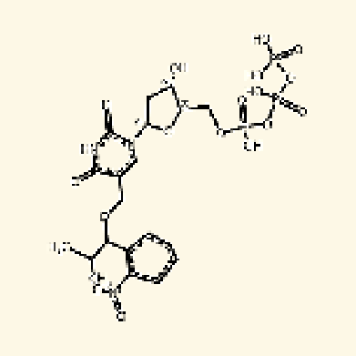 CC(C)C(OCc1cn([C@H]2C[C@H](O)[C@@H](COP(=O)(O)OP(=O)(O)OP(=O)(O)O)O2)c(=O)[nH]c1=O)c1ccccc1[N+](=O)[O-]